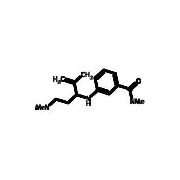 C=C(C)C(CCNC)Nc1cccc(C(=O)NC)c1